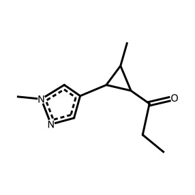 CCC(=O)C1C(C)C1c1cnn(C)c1